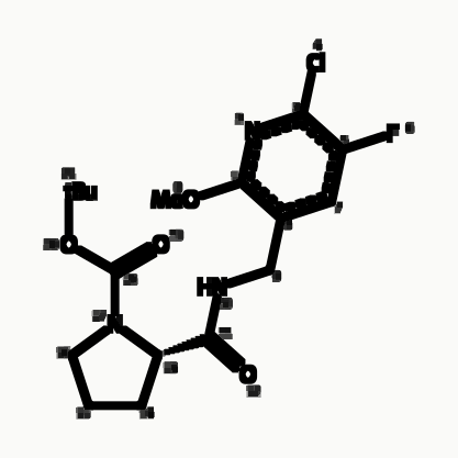 COc1nc(Cl)c(F)cc1CNC(=O)[C@@H]1CCCN1C(=O)OC(C)(C)C